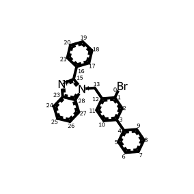 Brc1cc(-c2ccccc2)ccc1Cn1c(-c2ccccc2)nc2ccccc21